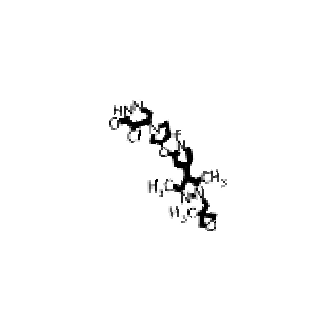 Cc1nn(CC2(C)COC2)c(C)c1-c1ccnc(O[C@H]2CN(c3cn[nH]c(=O)c3Cl)C[C@@H]2F)c1